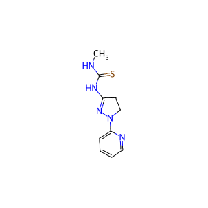 CNC(=S)NC1=NN(c2ccccn2)CC1